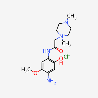 COc1cc(NC(=O)C[N+]2(C)CCN(C)CC2)c(O)cc1N.[Cl-]